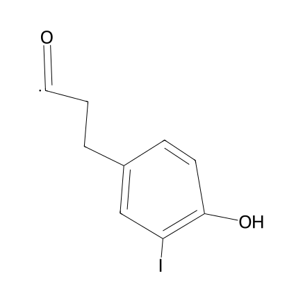 O=[C]CCc1ccc(O)c(I)c1